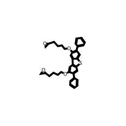 c1ccc(-c2cc3sc4cc(-c5ccccc5)c(OCCCCC5CO5)cc4c3cc2OCCCCC2CO2)cc1